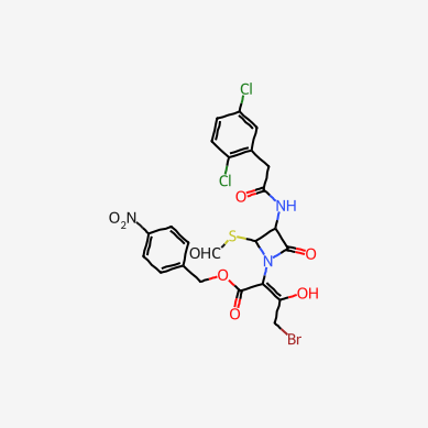 O=CSC1C(NC(=O)Cc2cc(Cl)ccc2Cl)C(=O)N1C(C(=O)OCc1ccc([N+](=O)[O-])cc1)=C(O)CBr